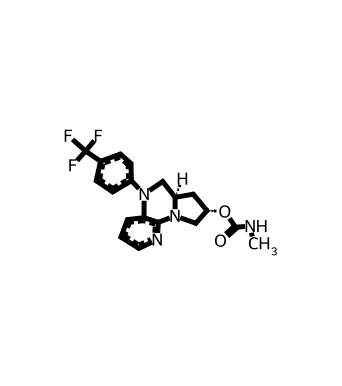 CNC(=O)O[C@H]1C[C@@H]2CN(c3ccc(C(F)(F)F)cc3)c3cccnc3N2C1